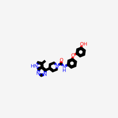 Cc1c[nH]c2ncnc(C3=CCN(C(=O)Nc4cccc(Oc5cccc(O)c5)c4)CC3)c12